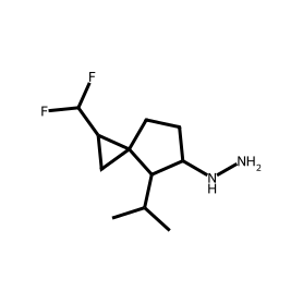 CC(C)C1C(NN)CCC12CC2C(F)F